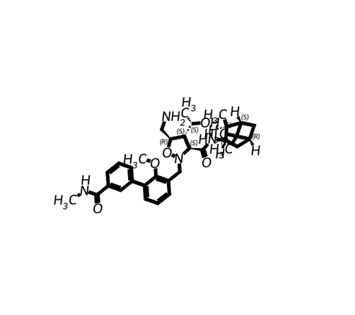 CNC(=O)c1cccc(-c2cccc(CN3O[C@@H](CN)[C@H]([C@H](C)O)[C@H]3C(=O)N[C@H]3C[C@H]4C[C@@H]([C@@H]3C)C4(C)C)c2OC)c1